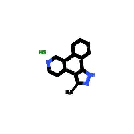 Cc1n[nH]c2c3ccccc3c3cnccc3c12.Cl